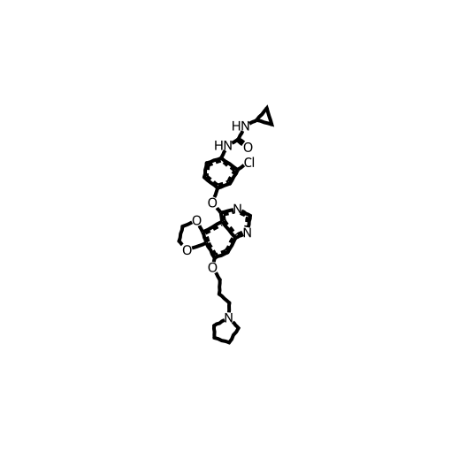 O=C(Nc1ccc(Oc2ncnc3cc(OCCCN4CCCC4)c4c(c23)OCCO4)cc1Cl)NC1CC1